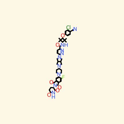 CC1(C)[C@H](NC(=O)c2ccc(N3CC4CN(C5CCN(c6cc7c(cc6F)C(=O)N(C6CCC(=O)NC6=O)C7=O)CC5)CC4C3)nn2)C(C)(C)[C@H]1Oc1ccc(C#N)c(Cl)c1